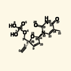 C#C[C@@]1(COP(=O)(O)O)C=C[C@H](n2cc(C)c(=O)[nH]c2=O)O1